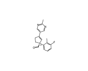 Cc1ncc(C2=C[C@](C=O)(c3cccc(F)c3C)CC2)cn1